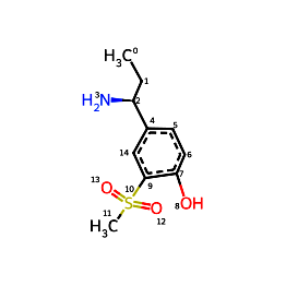 CC[C@H](N)c1ccc(O)c(S(C)(=O)=O)c1